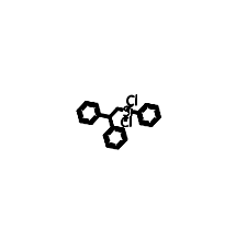 Cl[Si](Cl)(CC(c1ccccc1)c1ccccc1)c1ccccc1